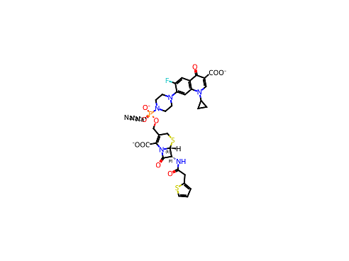 O=C(Cc1cccs1)N[C@@H]1C(=O)N2C(C(=O)[O-])=C(COP(=O)([O-])N3CCN(c4cc5c(cc4F)c(=O)c(C(=O)[O-])cn5C4CC4)CC3)CS[C@H]12.[Na+].[Na+].[Na+]